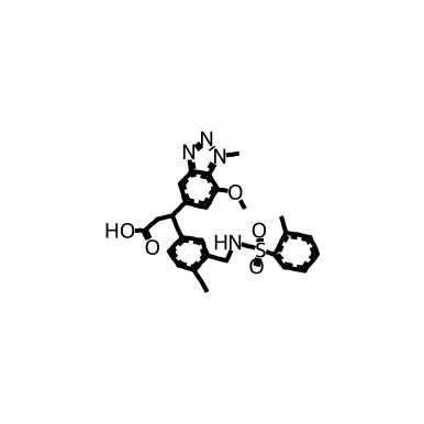 COc1cc(C(CC(=O)O)c2ccc(C)c(CNS(=O)(=O)c3ccccc3C)c2)cc2nnn(C)c12